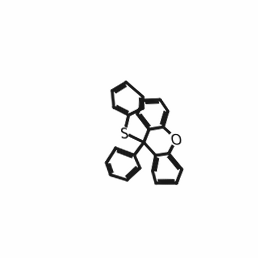 c1ccc(SC2(c3ccccc3)c3ccccc3Oc3ccccc32)cc1